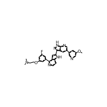 COc1cncc(-c2cnc3[nH]nc(-c4cc5c(-c6cc(F)cc(OCCN(C)C)c6)nccc5[nH]4)c3c2)c1